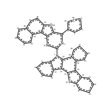 c1ccc(-c2nc(-n3c4ccccc4c4c5sc6ccccc6c5c5ccccc5c43)nc3c2oc2ccc4ccccc4c23)cc1